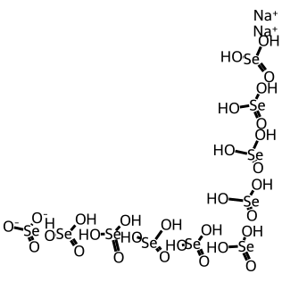 O=[Se](O)O.O=[Se](O)O.O=[Se](O)O.O=[Se](O)O.O=[Se](O)O.O=[Se](O)O.O=[Se](O)O.O=[Se](O)O.O=[Se](O)O.O=[Se]([O-])[O-].[Na+].[Na+]